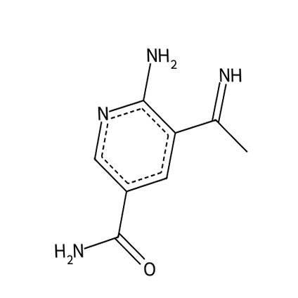 CC(=N)c1cc(C(N)=O)cnc1N